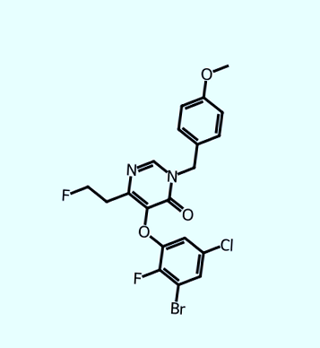 COc1ccc(Cn2cnc(CCF)c(Oc3cc(Cl)cc(Br)c3F)c2=O)cc1